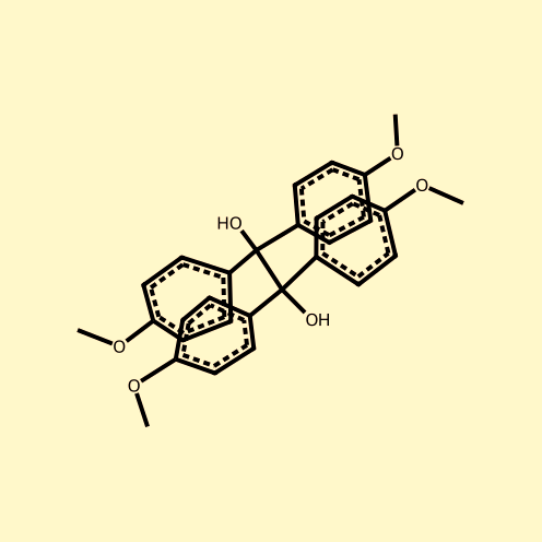 COc1ccc(C(O)(c2ccc(OC)cc2)C(O)(c2ccc(OC)cc2)c2ccc(OC)cc2)cc1